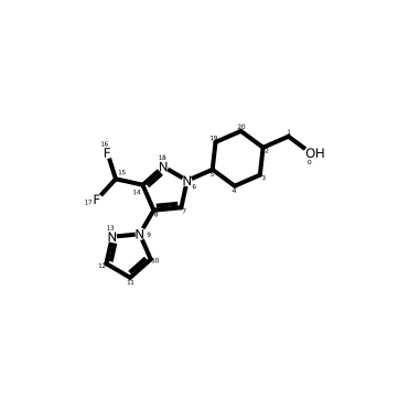 OCC1CCC(n2cc(-n3cccn3)c(C(F)F)n2)CC1